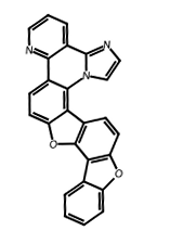 c1ccc2c(c1)oc1ccc3c(oc4ccc5c6ncccc6c6nccn6c5c43)c12